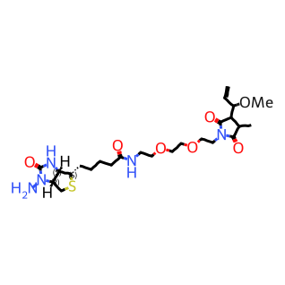 C=CC(OC)C1C(=O)N(CCOCCOCCNC(=O)CCCC[C@@H]2SC[C@H]3[C@@H]2NC(=O)N3N)C(=O)C1C